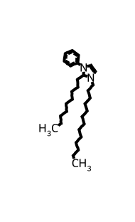 CCCCCCCCCCCCCN1C=CN(c2ccccc2)C1CCCCCCCCC